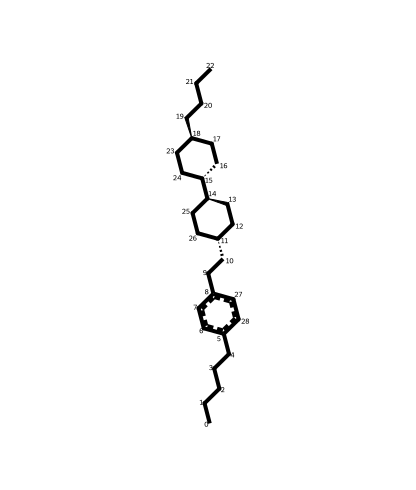 CCCCCc1ccc(CC[C@H]2CC[C@H]([C@H]3CC[C@H](CCCC)CC3)CC2)cc1